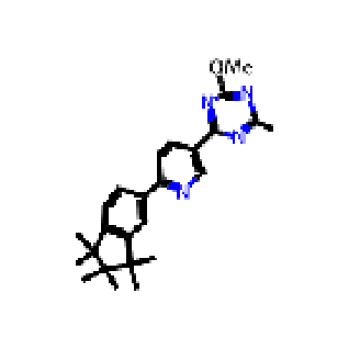 COc1nc(C)nc(-c2ccc(-c3ccc4c(c3)C(C)(C)C(C)(C)C4(C)C)nc2)n1